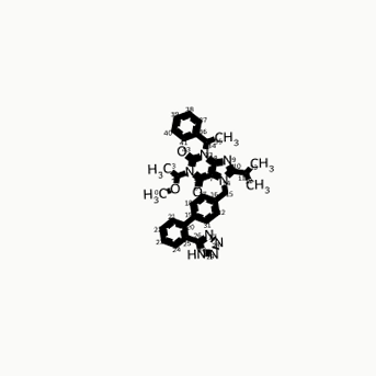 COC(C)n1c(=O)c2c(nc(C(C)C)n2Cc2ccc(-c3ccccc3-c3nnn[nH]3)cc2)n(C(C)c2ccccc2)c1=O